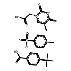 CC(C)(C)c1ccc(C(=O)O)cc1.Cc1ccc(S(=O)(=O)Cl)cc1.Cc1cn(CC(=O)O)c(=O)[nH]c1=O